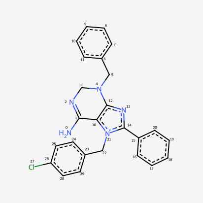 NC1=NCN(Cc2ccccc2)c2nc(-c3ccccc3)n(Cc3ccc(Cl)cc3)c21